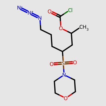 CC(CC(CCCN=[N+]=[N-])S(=O)(=O)N1CCOCC1)OC(=O)Cl